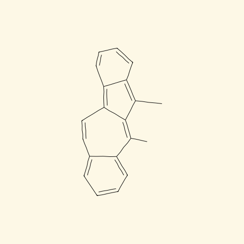 Cc1c2c(C)c3ccccc3c-2ccc2ccccc12